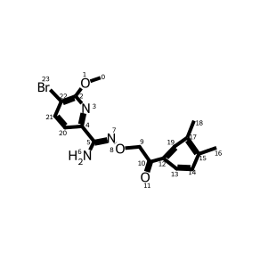 COc1nc(/C(N)=N/OCC(=O)c2ccc(C)c(C)c2)ccc1Br